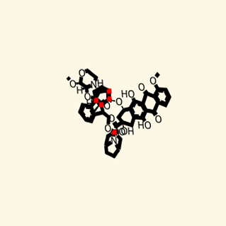 COc1cccc2c1C(=O)c1c(O)c3c(c(O)c1C2=O)C[C@@](O)(C(=O)N1CC2CCC(C1)N2C(=O)OCC1c2ccccc2-c2ccccc21)C[C@@H]3O[C@H]1C[C@H]2[C@H](O[C@@H]3[C@@H](OC)OCCN32)[C@H](C)O1